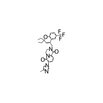 CCC1(CC)C=C(CN2CCn3c(ccc(-n4cnc(C)c4)c3=O)C2=O)c2cc(C(F)(F)F)ccc2O1